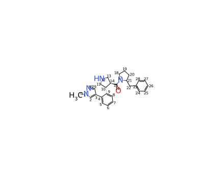 Cn1cc(-c2ccccc2[C@@H]2CNC[C@H]2C(=O)N2CCCC2Cc2ccccc2)cn1